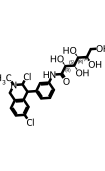 CN1Cc2ccc(Cl)cc2C(c2cccc(NC(=O)[C@H](O)[C@@H](O)[C@H](O)[C@H](O)CO)c2)C1Cl